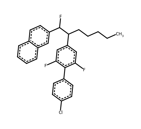 CCCCCC(c1cc(F)c(-c2ccc(Cl)cc2)c(F)c1)C(F)c1ccc2ccccc2c1